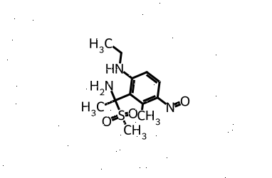 CCNc1ccc(N=O)c(C)c1C(C)(N)S(C)(=O)=O